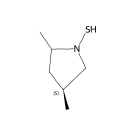 CC1C[C@H](C)CN1S